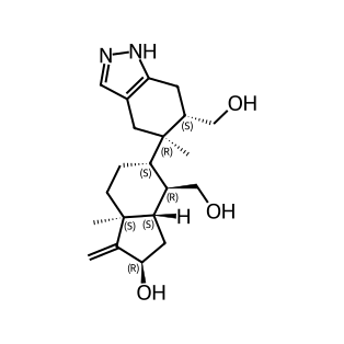 C=C1[C@H](O)C[C@H]2[C@H](CO)[C@@H]([C@@]3(C)Cc4cn[nH]c4C[C@@H]3CO)CC[C@]12C